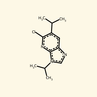 CC(C)c1cc2ncn(C(C)C)c2nc1Cl